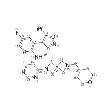 Cc1noc(C(C)C)c1-c1cc(F)ccc1Nc1cncnc1N1CC2(CN(CC3CCOCC3)C2)C1